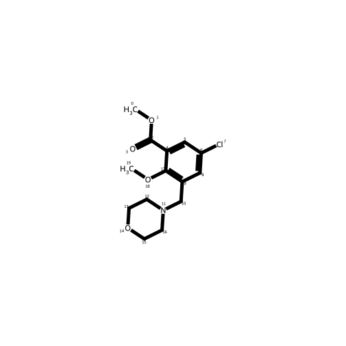 COC(=O)c1cc(Cl)cc(CN2CCOCC2)c1OC